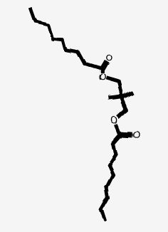 CCCCCCCCC(=O)OCC(C)(C)COC(=O)CCCCCCCC